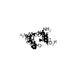 CC(C)(O/N=C(\C(=O)N[C@@H]1C(=O)N2C(C(=O)[O-])=C(C[n+]3ccccc3)CS[C@H]12)c1csc(N)n1)C(=O)O.CO/N=C1\CN(c2nc3c(cc2F)c(=O)c(C(=O)O)cn3C2CC2)CC1CN